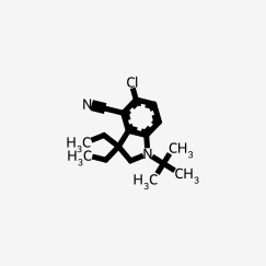 CCC1(CC)CN(C(C)(C)C)c2ccc(Cl)c(C#N)c21